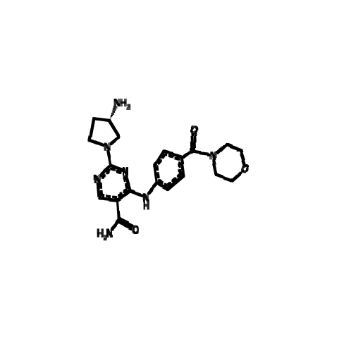 NC(=O)c1cnc(N2CC[C@H](N)C2)nc1Nc1ccc(C(=O)N2CCOCC2)cc1